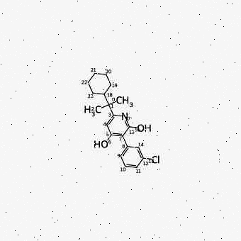 CC(C)(c1cc(O)c(-c2cccc(Cl)c2)c(O)n1)C1CCCCC1